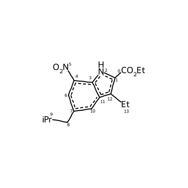 CCOC(=O)c1[nH]c2c([N+](=O)[O-])cc(CC(C)C)cc2c1CC